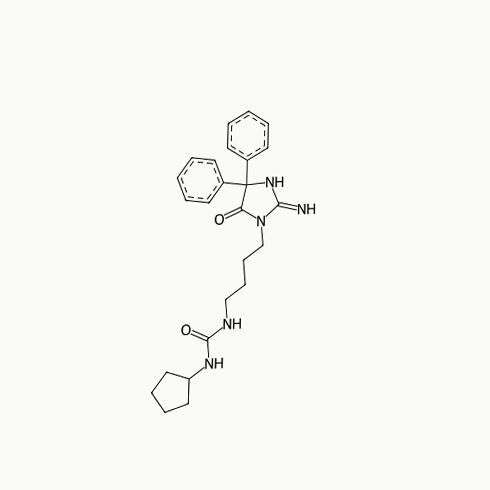 N=C1NC(c2ccccc2)(c2ccccc2)C(=O)N1CCCCNC(=O)NC1CCCC1